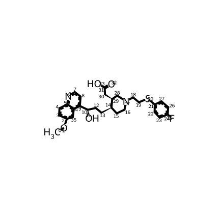 COc1ccc2nccc([C@H](O)CC[C@@H]3CCN(CCSc4ccc(F)cc4)C[C@@H]3CC(=O)O)c2c1